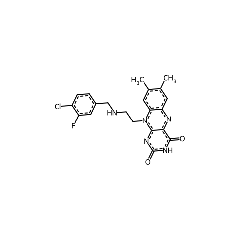 Cc1cc2nc3c(=O)[nH]c(=O)nc-3n(CCNCc3ccc(Cl)c(F)c3)c2cc1C